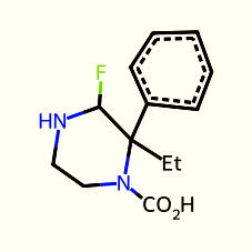 CCC1(c2ccccc2)C(F)NCCN1C(=O)O